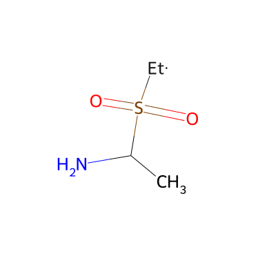 C[CH]S(=O)(=O)C(C)N